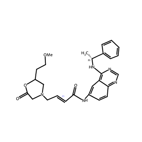 COCCC1CN(C/C=C/C(=O)Nc2ccc3ncnc(N[C@H](C)c4ccccc4)c3c2)CC(=O)O1